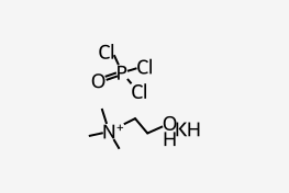 C[N+](C)(C)CCO.O=P(Cl)(Cl)Cl.[KH]